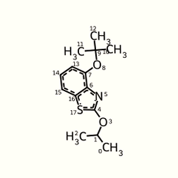 CC(C)Oc1nc2c(OC(C)(C)C)cccc2s1